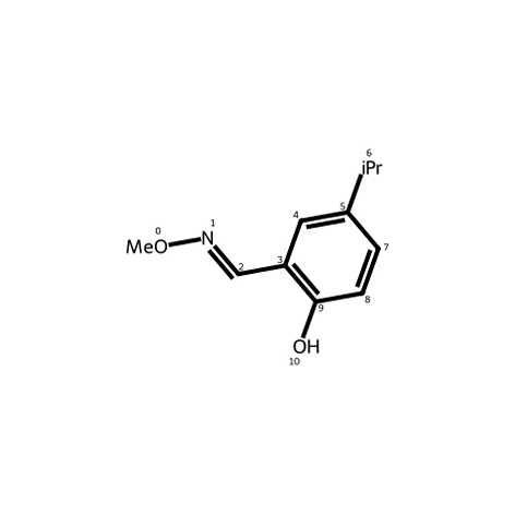 CON=Cc1cc(C(C)C)ccc1O